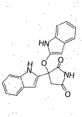 O=C1CC(Oc2cc3ccccc3[nH]2)(c2cc3ccccc3[nH]2)C(=O)N1